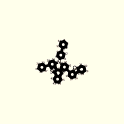 c1ccc(-c2ccc(N(c3ccc(-c4cccc5c4oc4ccccc45)cc3)c3ccc(-c4ccccc4)c4sc5c6ccccc6ccc5c34)cc2)cc1